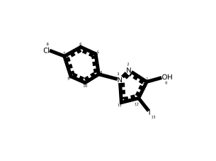 Oc1nn(-c2ccc(Cl)cc2)cc1I